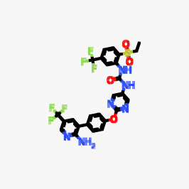 CCS(=O)(=O)c1ccc(C(F)(F)F)cc1NC(=O)Nc1cnc(Oc2ccc(-c3cc(C(F)(F)F)cnc3N)cc2)nc1